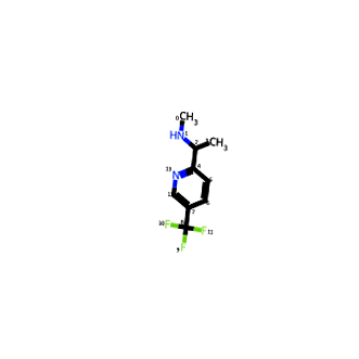 CNC(C)c1ccc(C(F)(F)F)cn1